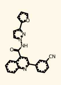 N#Cc1cccc(-c2cc(C(=O)Nn3ccc(-c4ccco4)n3)c3ccccc3n2)c1